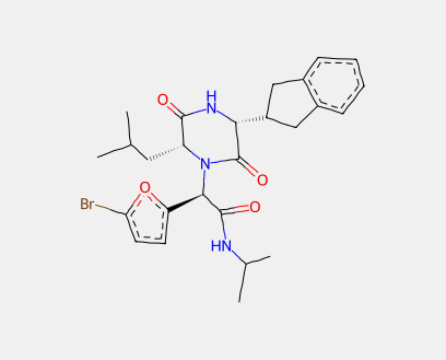 CC(C)C[C@@H]1C(=O)N[C@H](C2Cc3ccccc3C2)C(=O)N1[C@@H](C(=O)NC(C)C)c1ccc(Br)o1